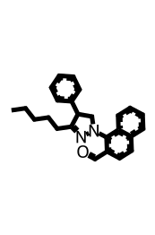 CCCCCC1=NN(c2c(C=O)ccc3ccccc23)CC1c1ccccc1